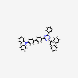 c1ccc(-c2nc(-c3ccc(-c4ccc(-n5c6ccccc6c6ccccc65)cc4)cc3)nc(-c3cc4ccccc4c4ccccc34)n2)cc1